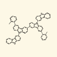 Cc1ccccc1-c1ccc2c(c1)c1cc(-c3ccc4c(c3)c3cc(-c5ccccc5C)ccc3n4-c3ccc4sc5ccccc5c4c3)ccc1n2-c1ccc2sc3ccccc3c2c1